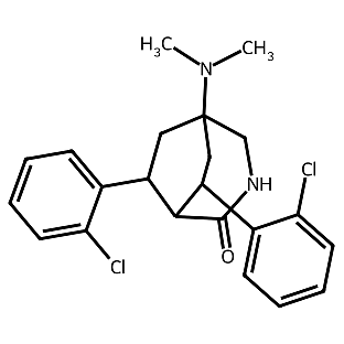 CN(C)C12CNC(=O)C(C(c3ccccc3Cl)C1)C(c1ccccc1Cl)C2